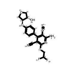 [C-]#[N+]c1c(N)nc(SCC(F)F)c(C#N)c1-c1ccc(O[C@H]2COC[C@@H]2O)cc1